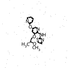 COC(C)COc1cc(Oc2ccccn2)cnc1Nc1nccs1